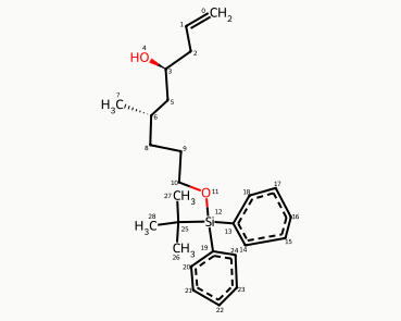 C=CC[C@H](O)C[C@@H](C)CCCO[Si](c1ccccc1)(c1ccccc1)C(C)(C)C